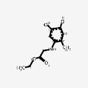 CCOC(=O)CNc1cc(Cl)c(Cl)cc1C